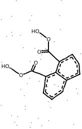 O=C(OO)c1cccc2cccc(C(=O)OO)c12